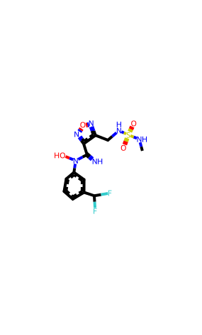 CNS(=O)(=O)NCc1nonc1C(=N)N(O)c1cccc(C(F)F)c1